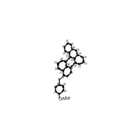 COc1ccc(Cc2ccc3c4cccc5cc6ccccc6c(c6cccc2c36)c54)cc1